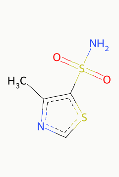 Cc1ncsc1S(N)(=O)=O